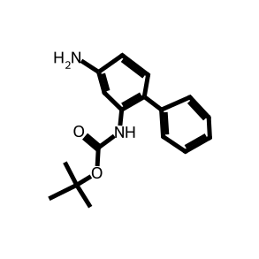 CC(C)(C)OC(=O)Nc1cc(N)ccc1-c1ccccc1